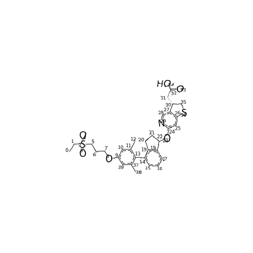 CCS(=O)(=O)CCCOc1cc(C)c(-c2cccc3c2CCC3Oc2cc3c(cn2)[C@H](CC(=O)O)CS3)c(C)c1